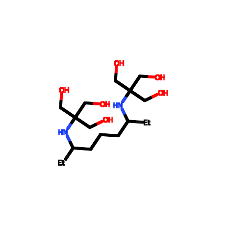 CCC(CCCC(CC)NC(CO)(CO)CO)NC(CO)(CO)CO